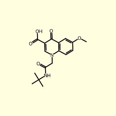 COc1ccc2c(c1)c(=O)c(C(=O)O)cn2CC(=O)NC(C)(C)C